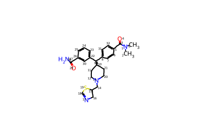 CN(C)C(=O)c1ccc(C(=C2CCN(CC3CN=CS3)CC2)c2cccc(C(N)=O)c2)cc1